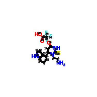 NCCn1c(-c2cccc3[nH]ccc23)cc(=O)[nH]c1=S.O=C(O)C(F)(F)F